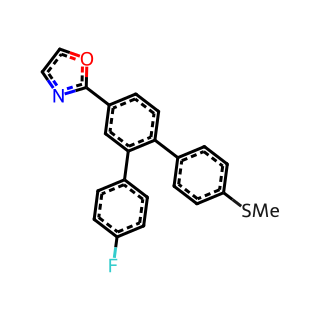 CSc1ccc(-c2ccc(-c3ncco3)cc2-c2ccc(F)cc2)cc1